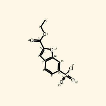 CCOC(=O)c1cc2ccc(S(=O)(=O)Cl)cc2o1